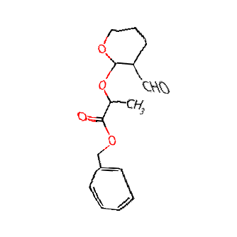 CC(OC1OCCCC1C=O)C(=O)OCc1ccccc1